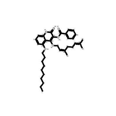 CCCCCCCCCCOc1cccc2oc(=O)c(OC(=O)c3ccccc3)c(OCC=C(C)CCC=C(C)C)c12